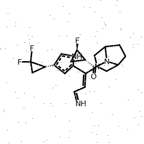 N=C/C=C(\c1cc([C@@H]2CC2(F)F)c[nH]1)N1CC2CCC(C1)N2C(=O)[C@@H]1C[C@H]1F